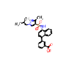 Cc1nn(CC(C)C)cc1S(=O)(=O)Nc1ccc(-c2cccc(C(=O)O)c2)c2ccccc12